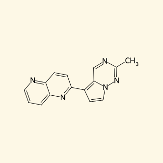 Cc1ncc2c(-c3ccc4ncccc4n3)ccn2n1